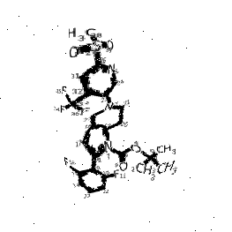 CC(C)(C)OC(=O)n1c(-c2c(F)cccc2F)cc2c1CCN(c1cnc(S(C)(=O)=O)cc1C(F)(F)F)C2